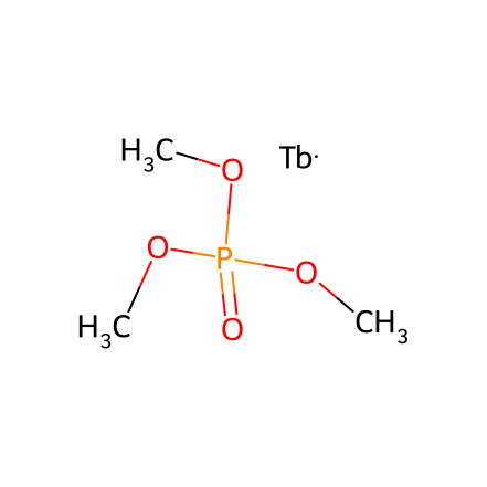 COP(=O)(OC)OC.[Tb]